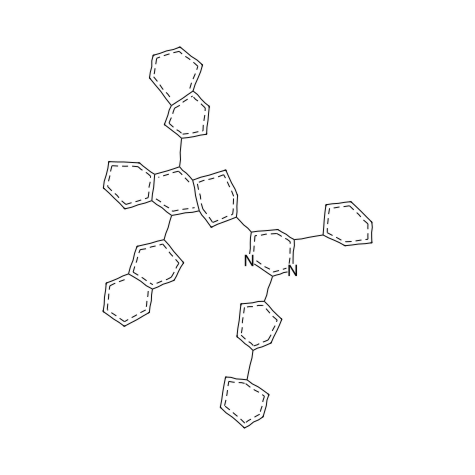 c1ccc(-c2ccc(-c3nc(-c4ccccc4)cc(-c4ccc5c(-c6ccc7ccccc7c6)c6ccccc6c(-c6ccc7ccccc7c6)c5c4)n3)cc2)cc1